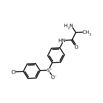 CC(N)C(=O)Nc1ccc([S+]([O-])c2ccc(Cl)cc2)cc1